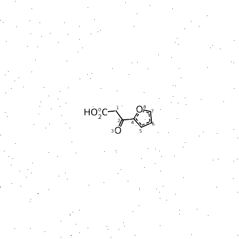 O=C(O)CC(=O)c1ccco1